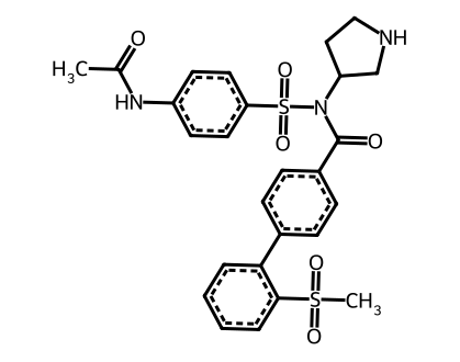 CC(=O)Nc1ccc(S(=O)(=O)N(C(=O)c2ccc(-c3ccccc3S(C)(=O)=O)cc2)C2CCNC2)cc1